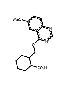 COc1ccc2ncnc(OCC3CCCCC3C(=O)O)c2c1